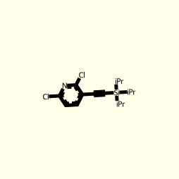 CC(C)[Si](C#Cc1ccc(Cl)nc1Cl)(C(C)C)C(C)C